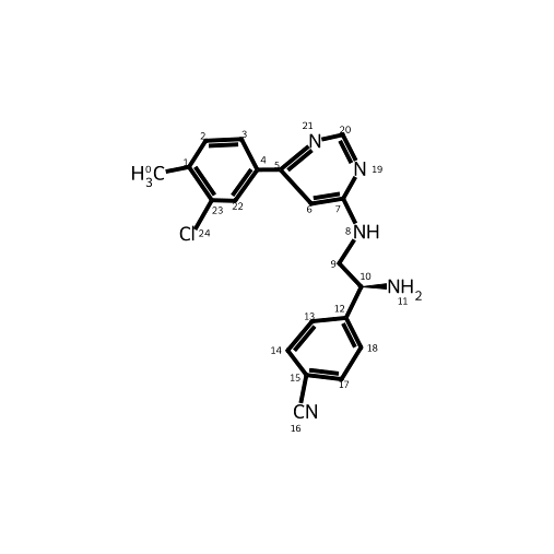 Cc1ccc(-c2cc(NC[C@@H](N)c3ccc(C#N)cc3)ncn2)cc1Cl